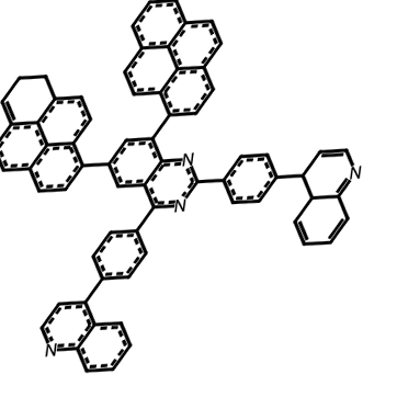 C1=CC2=NC=CC(c3ccc(-c4nc(-c5ccc(-c6ccnc7ccccc67)cc5)c5cc(-c6ccc7ccc8c9c(ccc6c79)CCC=8)cc(-c6ccc7ccc8cccc9ccc6c7c89)c5n4)cc3)C2C=C1